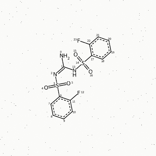 NC(=NS(=O)(=O)c1ccccc1F)NS(=O)(=O)c1ccccc1F